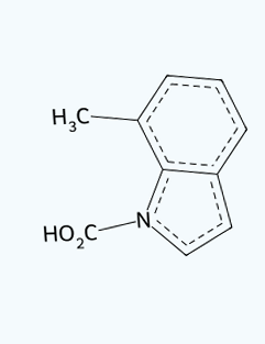 Cc1cccc2ccn(C(=O)O)c12